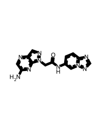 Nc1cnc2cnn(CC(=O)Nc3ccc4ncnn4c3)c2n1